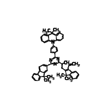 C=CC1=C(/C=C(\C)c2nc(-c3ccc(N4c5ccccc5C(C)(C)c5ccccc54)cc3)nc(-c3ccc4c(c3)C(C)(C)c3ccccc3-4)n2)C(C)(C)c2ccccc21